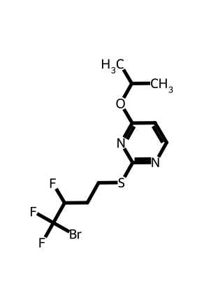 CC(C)Oc1ccnc(SCCC(F)C(F)(F)Br)n1